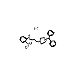 Cl.O=[N+]([O-])c1ccccc1NCCCN1CCN(C(c2ccccc2)c2ccccc2)CC1